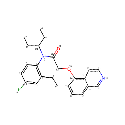 CCc1cc(F)ccc1N(C(=O)COc1cccc2cnccc12)C(CC)CC